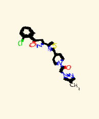 Cc1cnn(CC(=O)N2CCC(c3nc(C4=NOC(c5[c]cccc5Cl)C4)cs3)CC2)c1